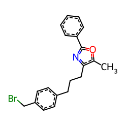 Cc1oc(-c2ccccc2)nc1CCCc1ccc(CBr)cc1